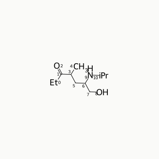 CCC(=O)C(C)CC(CO)NC(C)C